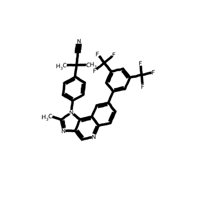 Cc1nc2cnc3ccc(-c4cc(C(F)(F)F)cc(C(F)(F)F)c4)cc3c2n1-c1ccc(C(C)(C)C#N)cc1